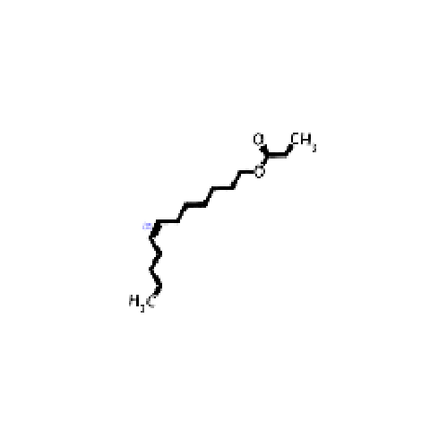 CCCC/C=C\CCCCCCOC(=O)CC